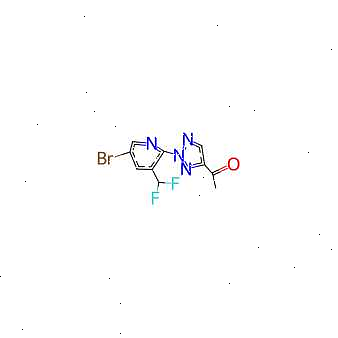 CC(=O)c1cnn(-c2ncc(Br)cc2C(F)F)n1